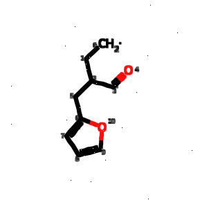 [CH2]CC([C]=O)Cc1ccco1